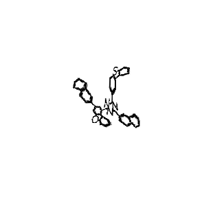 c1ccc2cc(-c3cc(-c4nc(-c5ccc6ccccc6c5)nc(-c5ccc6sc7ccccc7c6c5)n4)c4c(c3)oc3ccccc34)ccc2c1